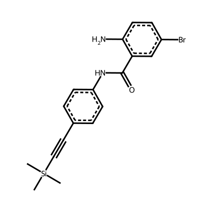 C[Si](C)(C)C#Cc1ccc(NC(=O)c2cc(Br)ccc2N)cc1